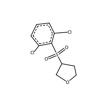 O=S(=O)(c1c(Cl)cccc1Cl)C1CCOC1